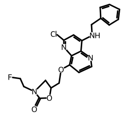 O=C1OC(COc2ccnc3c(NCc4ccccc4)cc(Cl)nc23)CN1CCF